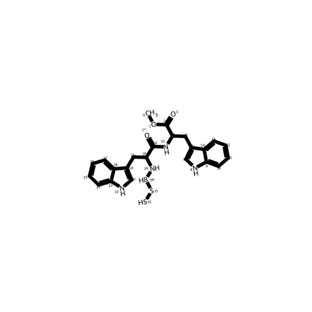 COC(=O)C(Cc1c[nH]c2ccccc12)NC(=O)C(Cc1c[nH]c2ccccc12)NBSS